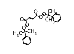 CC(C)(OOC(=O)C=CC(=O)OOC(C)(C)c1ccccc1)c1ccccc1